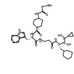 CC(C)(C)OC(=O)NC1CCN(C(=O)N[C@@H](Cc2c[nH]c3ccccc23)C(=O)NCCC(=O)N[C@@H](CC2CCCCC2)[C@@H](O)[C@@H](O)C2CC2)CC1